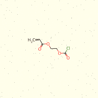 C=CC(=O)OCCOC(=O)Cl